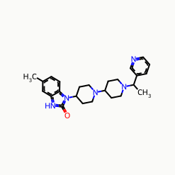 Cc1ccc2c(c1)[nH]c(=O)n2C1CCN(C2CCN(C(C)c3cccnc3)CC2)CC1